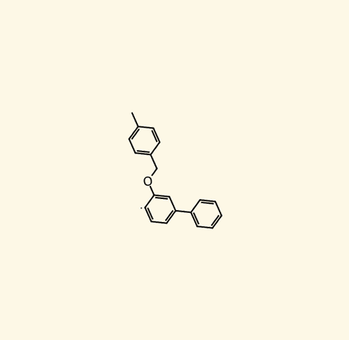 Cc1ccc(COc2[c]ccc(-c3ccccc3)c2)cc1